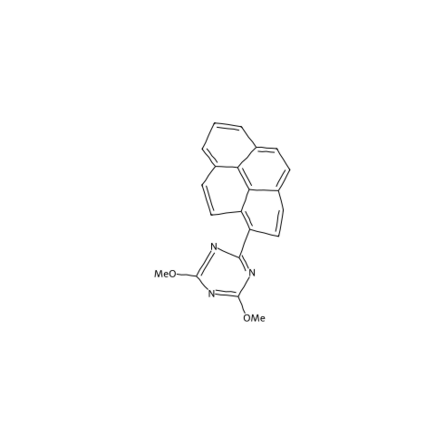 COc1nc(OC)nc(-c2ccc3ccc4cccc5ccc2c3c45)n1